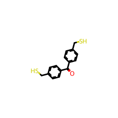 O=C(c1ccc(CS)cc1)c1ccc(CS)cc1